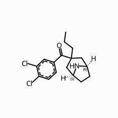 CCCC1(C(=O)c2ccc(Cl)c(Cl)c2)C[C@H]2CC[C@@H](C1)N2